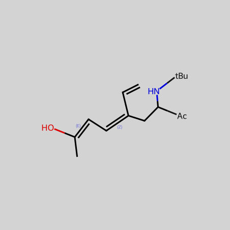 C=C/C(=C\C=C(/C)O)CC(NC(C)(C)C)C(C)=O